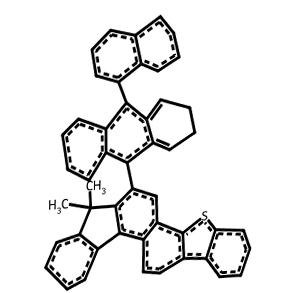 CC1(C)c2ccccc2-c2c1c(-c1c3c(c(-c4cccc5ccccc45)c4ccccc14)=CCCC=3)cc1c2ccc2c3ccccc3sc12